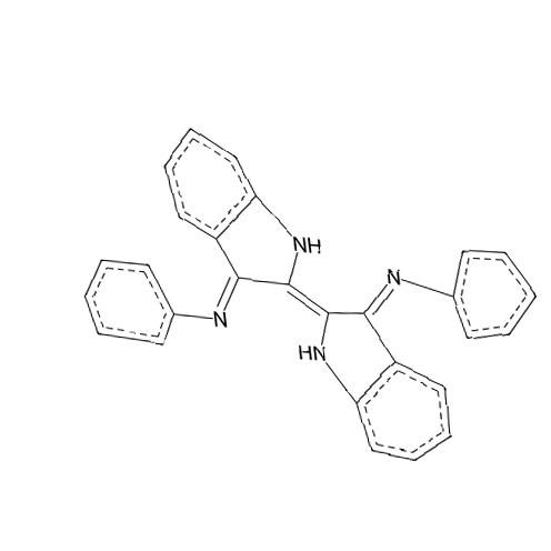 c1ccc(/N=C2/C(=C3\Nc4ccccc4\C3=N/c3ccccc3)Nc3ccccc32)cc1